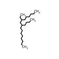 CCCCCCCCC([CH]C(CC)CCCCCC)CCCC